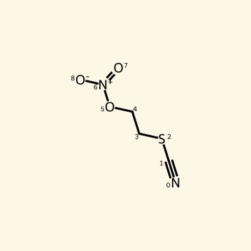 N#CSCCO[N+](=O)[O-]